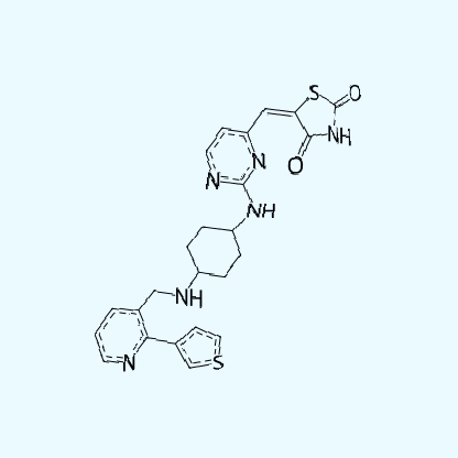 O=C1NC(=O)/C(=C\c2ccnc(NC3CCC(NCc4cccnc4-c4ccsc4)CC3)n2)S1